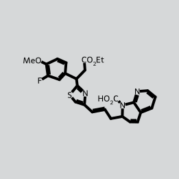 CCOC(=O)CC(c1ccc(OC)c(F)c1)c1nc(/C=C/CC2C=Cc3cccnc3N2C(=O)O)cs1